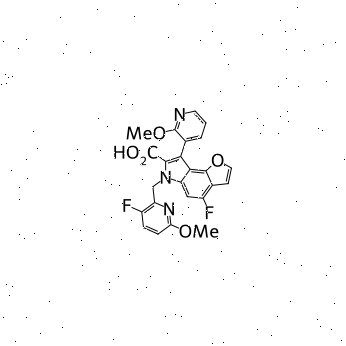 COc1ccc(F)c(Cn2c(C(=O)O)c(-c3cccnc3OC)c3c4occc4c(F)cc32)n1